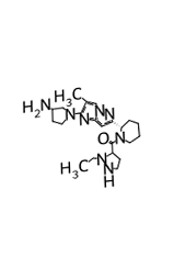 CCN1NCCC1C(=O)N1CCCC[C@H]1c1cc2nc(N3CC[C@H](N)C3)c(C)cn2n1